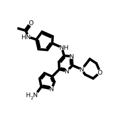 CC(=O)Nc1ccc(Nc2cc(-c3ccc(N)nc3)nc(N3CCOCC3)n2)cc1